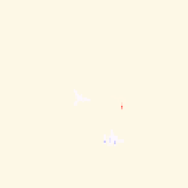 c1ccc2c(c1)CCN(C1CCC1)CC2O[C@H]1CCNC1